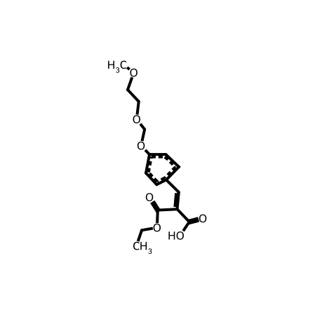 CCOC(=O)C(=Cc1ccc(OCOCCOC)cc1)C(=O)O